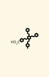 Cc1ccc(CCc2cc(CCc3ccccc3)c(CCc3ccccc3)cc2CCc2ccc(C(=O)O)cc2)cc1